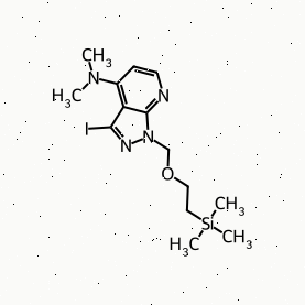 CN(C)c1ccnc2c1c(I)nn2COCC[Si](C)(C)C